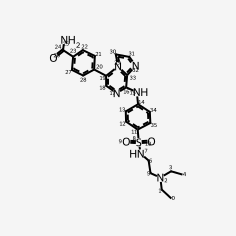 CCN(CC)CCNS(=O)(=O)c1ccc(Nc2ncc(-c3ccc(C(N)=O)cc3)n3ccnc23)cc1